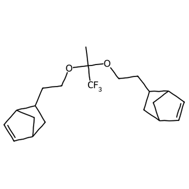 CC(OCCC1CC2C=CC1C2)(OCCC1CC2C=CC1C2)C(F)(F)F